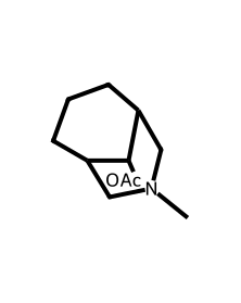 CC(=O)OC1C2CCCC1CN(C)C2